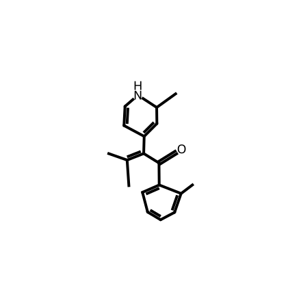 CC(C)=C(C(=O)c1ccccc1C)C1=CC(C)NC=C1